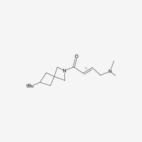 CN(C)C/C=C/C(=O)N1CC2(CC(C(C)(C)C)C2)C1